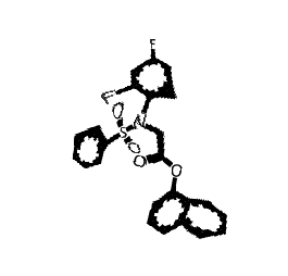 O=C(CN(c1ccc(F)cc1F)S(=O)(=O)c1ccccc1)Oc1cccc2ccccc12